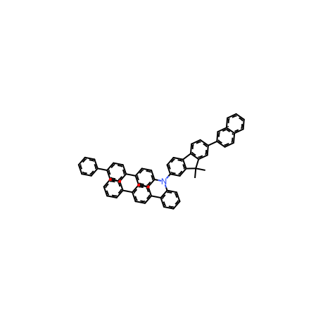 CC1(C)c2cc(-c3ccc4ccccc4c3)ccc2-c2ccc(N(c3ccc(-c4ccc(-c5ccccc5)cc4)cc3)c3ccccc3-c3ccc(-c4ccccc4)cc3)cc21